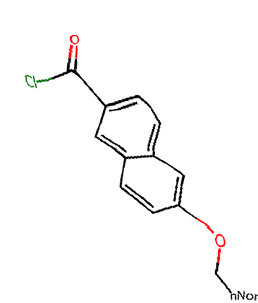 CCCCCCCCCCOc1ccc2cc(C(=O)Cl)ccc2c1